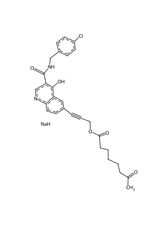 CC(=O)CCCCCC(=O)OCC#Cc1ccc2ncc(C(=O)NCc3ccc(Cl)cc3)c(O)c2c1.[NaH]